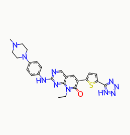 CCn1c(=O)c(-c2ccc(-c3nnn[nH]3)s2)cc2cnc(Nc3ccc(N4CCN(C)CC4)cc3)nc21